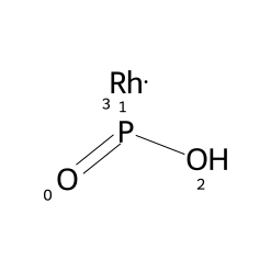 O=PO.[Rh]